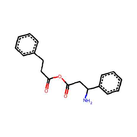 NC(CC(=O)OC(=O)CCc1ccccc1)c1ccccc1